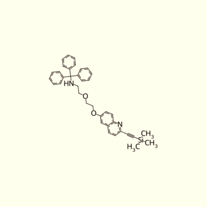 C[Si](C)(C)C#Cc1ccc2cc(OCCOCCNC(c3ccccc3)(c3ccccc3)c3ccccc3)ccc2n1